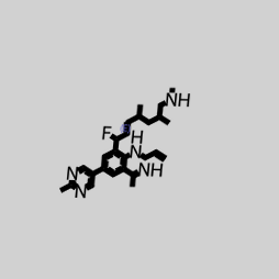 C=CCNc1c(C(C)=N)cc(-c2cnc(C)nc2)cc1C(F)/C=C/C(C)CC(C)CNC